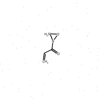 C=CC(=O)N1O[SiH2]1